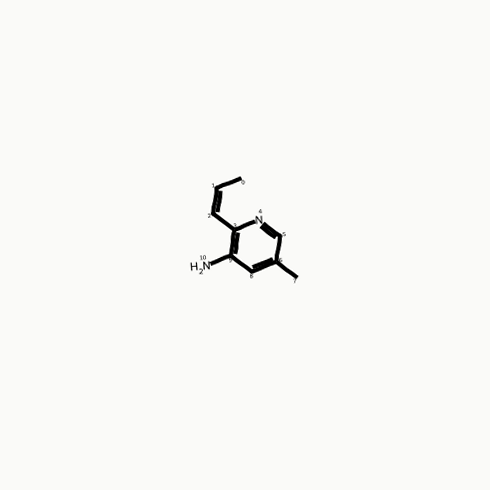 C/C=C\c1ncc(C)cc1N